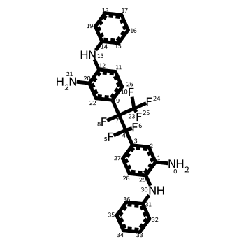 Nc1cc(C(F)(F)C(F)(c2ccc(Nc3ccccc3)c(N)c2)C(F)(F)F)ccc1Nc1ccccc1